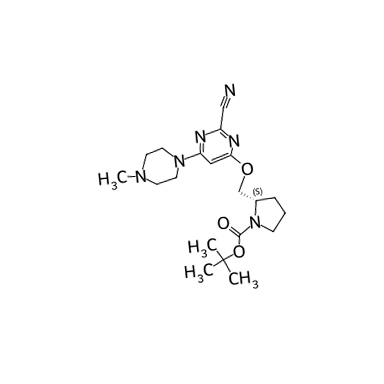 CN1CCN(c2cc(OC[C@@H]3CCCN3C(=O)OC(C)(C)C)nc(C#N)n2)CC1